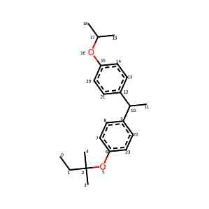 CCC(C)(C)Oc1ccc(C(C)c2ccc(OC(C)C)cc2)cc1